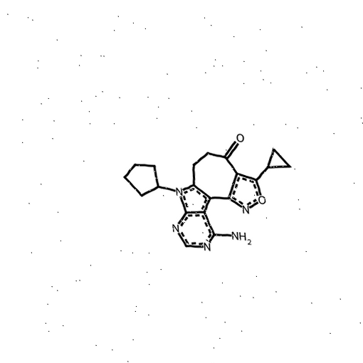 Nc1ncnc2c1c1c(n2C2CCCC2)CCC(=O)c2c-1noc2C1CC1